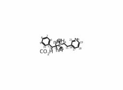 CCCC(CCC)(C(C(=O)O)c1ccccc1)P(=O)(O)CCc1cccnc1